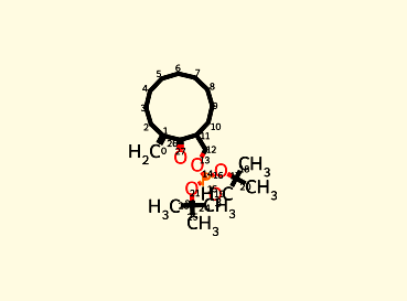 C=C1CCCCCCCCCC(COP(=O)(OC(C)(C)C)OC(C)(C)C)C1=O